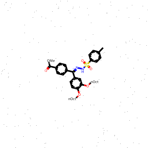 CCCCCCCCOc1ccc(/C(=N\NS(=O)(=O)c2ccc(C)cc2)c2ccc(C(=O)OC)cc2)cc1OCCCCCCCC